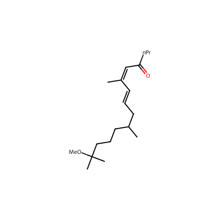 CCCC(=O)C=C(C)C=CCC(C)CCCC(C)(C)OC